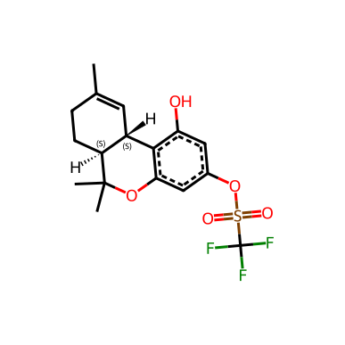 CC1=C[C@@H]2c3c(O)cc(OS(=O)(=O)C(F)(F)F)cc3OC(C)(C)[C@H]2CC1